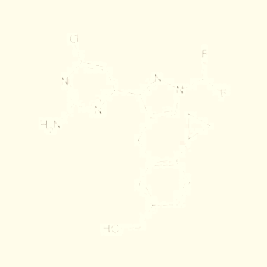 Nc1nc(Cl)cc(-c2nn(C(F)F)cc2Cc2cc(CO)ccc2C2CC2)n1